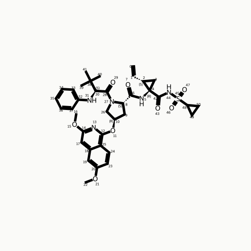 C=C[C@@H]1C[C@]1(NC(=O)[C@@H]1C[C@@H](Oc2nc(OC)cc3cc(OC)ccc23)CN1C(=O)[C@@H](Nc1ccccc1)C(C)(C)C)C(=O)NS(=O)(=O)C1CC1